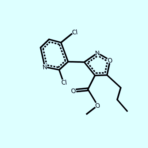 CCCc1onc(-c2c(Cl)ccnc2Cl)c1C(=O)OC